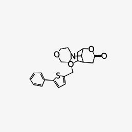 O=C1CC2C(OCc3ccc(-c4ccccc4)s3)CC(O1)C2N1CCOCC1